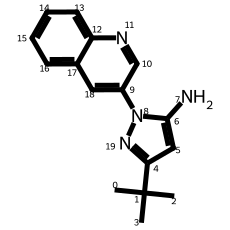 CC(C)(C)c1cc(N)n(-c2cnc3ccccc3c2)n1